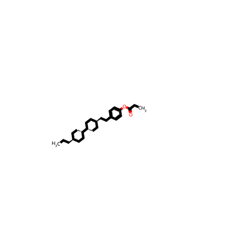 CCC[C@H]1CC[C@H]([C@H]2CC[C@H](CCc3ccc(OC(=O)CC)cc3)CC2)CC1